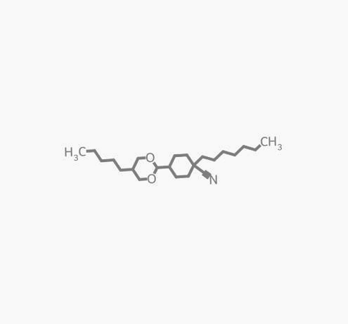 CCCCCCCC1(C#N)CCC(C2OCC(CCCCC)CO2)CC1